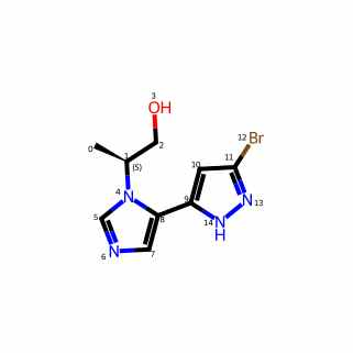 C[C@@H](CO)n1cncc1-c1cc(Br)n[nH]1